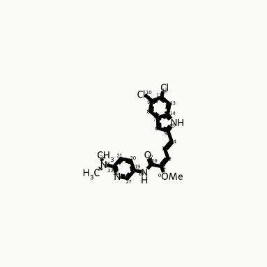 COC(=CC=Cc1cc2cc(Cl)c(Cl)cc2[nH]1)C(=O)Nc1ccc(N(C)C)nc1